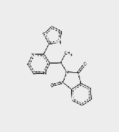 CC(c1nccnc1-c1nccs1)N1C(=O)c2ccccc2C1=O